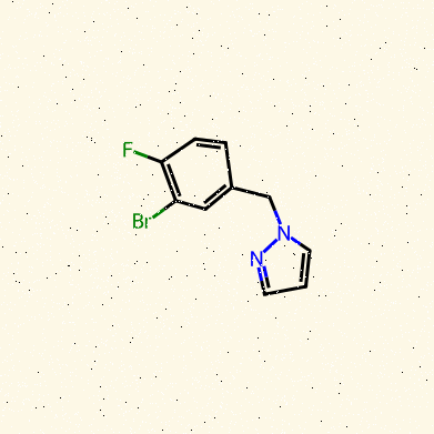 Fc1ccc(Cn2cccn2)cc1Br